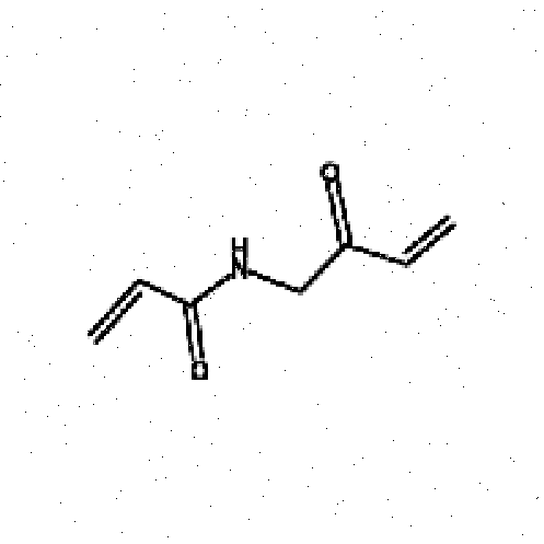 C=CC(=O)CNC(=O)C=C